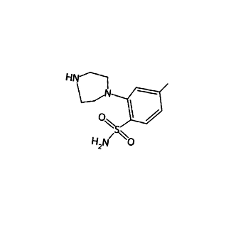 Cc1ccc(S(N)(=O)=O)c(N2CCNCC2)c1